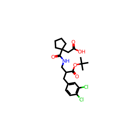 CC(C)(C)OC(=O)C(CNC(=O)C1(CC(=O)O)CCCC1)Cc1ccc(Cl)c(Cl)c1